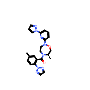 Cc1ccc(-n2nccn2)c(C(=O)N2CCN(c3cccc(-n4cccn4)n3)OC[C@H]2C)c1